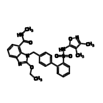 CCOc1nc2cccc(C(=O)NC)c2n1Cc1ccc(-c2ccccc2S(=O)(=O)Nc2onc(C)c2C)cc1